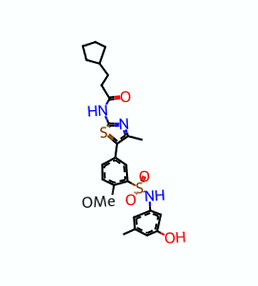 COc1ccc(-c2sc(NC(=O)CCC3CCCC3)nc2C)cc1S(=O)(=O)Nc1cc(C)cc(O)c1